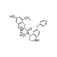 Cc1cc(O)cc(C)c1CC(N)C(=O)N(C)C1CCNc2ccc(Cc3ccccc3)cc21